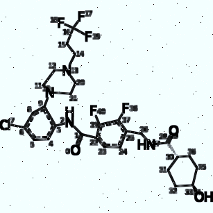 O=C(Nc1ccc(Cl)cc1N1CCN(CCC(F)(F)F)CC1)c1ccc(CNC(=O)[C@H]2CC[C@H](O)CC2)c(F)c1F